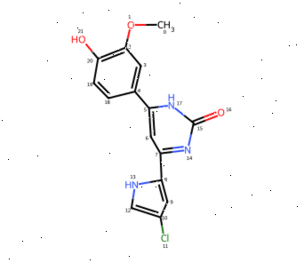 COc1cc(-c2cc(-c3cc(Cl)c[nH]3)nc(=O)[nH]2)ccc1O